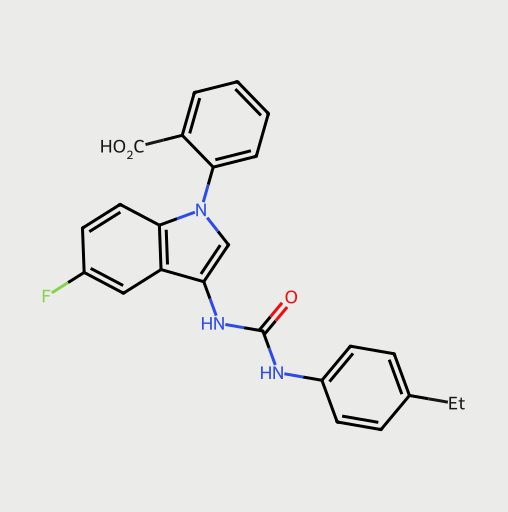 CCc1ccc(NC(=O)Nc2cn(-c3ccccc3C(=O)O)c3ccc(F)cc23)cc1